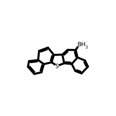 Bc1cc2c3ccc4ccccc4c3sc2c2ccccc12